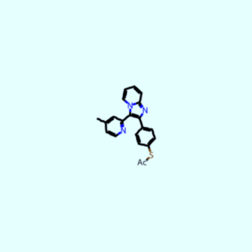 CC(=O)Sc1ccc(-c2nc3ccccn3c2-c2cc(C)ccn2)cc1